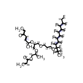 C=CC(=O)/C=C/C(C)OC(COCCCOC(F)(/C(F)=C(F)/C(F)=C(F)/C(F)=C(F)/C(F)=C(\F)CF)C(F)(F)C(F)(F)F)COC(C)COC(=O)C=C